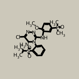 COc1ccc(P(C)(C)=O)cc1NC1=NN=C(Cl)C(N)N1c1ccccc1S(=O)(=O)C(C)C